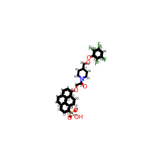 O=C(COc1ccc2ccc3ccc(S(=O)(=O)O)c4ccc1c2c34)N1CCC(COOc2c(F)c(F)cc(F)c2F)CC1